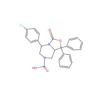 O=C(O)N1CC(c2ccc(F)cc2)N2C(=O)OC(c3ccccc3)(c3ccccc3)C2C1